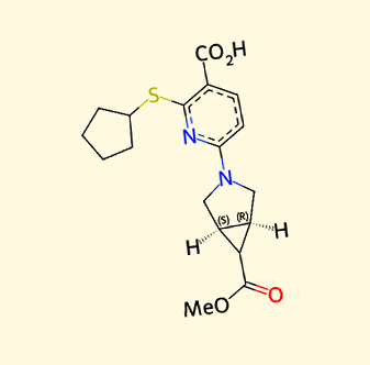 COC(=O)C1[C@H]2CN(c3ccc(C(=O)O)c(SC4CCCC4)n3)C[C@@H]12